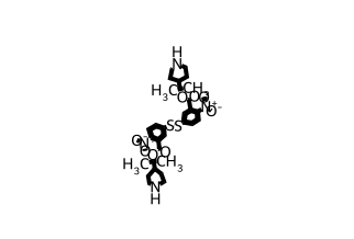 CC(C)(OC(=O)c1cc(SSc2ccc([N+](=O)[O-])c(C(=O)OC(C)(C)C3CCNCC3)c2)ccc1[N+](=O)[O-])C1CCNCC1